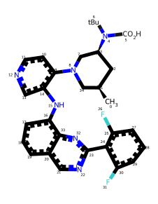 C[C@@H]1C[C@H](N(C(=O)O)C(C)(C)C)CN(c2ccncc2Nc2cccc3cnc(-c4c(F)cccc4F)nc23)C1